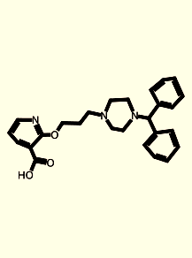 O=C(O)c1cccnc1OCCCN1CCN(C(c2ccccc2)c2ccccc2)CC1